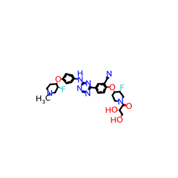 CN1CC[C@H](Oc2ccc(Nc3ncnc(-c4ccc(O[C@H]5CCN(C(=O)[C@@H](O)CO)C[C@@H]5F)c(C#N)c4)n3)cc2)[C@@H](F)C1